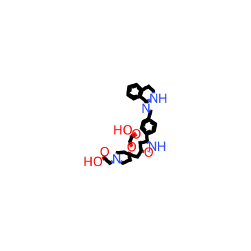 O=C(O)COC1(CC2CC(c3ccc(C=NC4NCCc5ccccc54)cc3)NO2)CCN(CC(=O)O)CC1